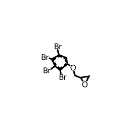 Brc1cc(OCC2CO2)c(Br)c(Br)c1Br